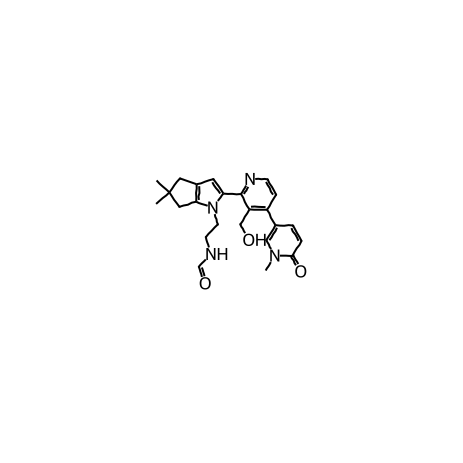 Cn1cc(-c2ccnc(-c3cc4c(n3CCNC=O)CC(C)(C)C4)c2CO)ccc1=O